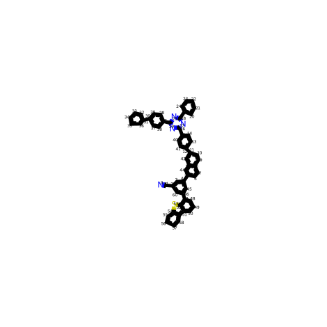 N#Cc1cc(-c2ccc3ccc(-c4ccc(-c5nc(-c6ccccc6)nc(-c6ccc(-c7ccccc7)cc6)n5)cc4)cc3c2)cc(-c2cccc3c2sc2ccccc23)c1